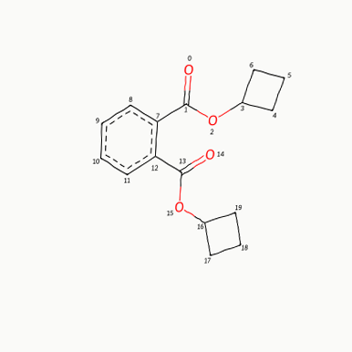 O=C(OC1CCC1)c1ccccc1C(=O)OC1CCC1